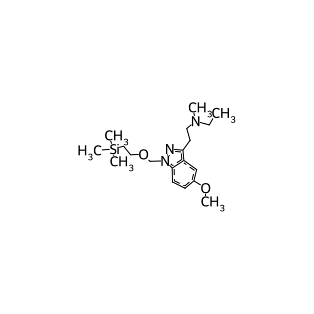 CCN(C)CCc1nn(COCC[Si](C)(C)C)c2ccc(OC)cc12